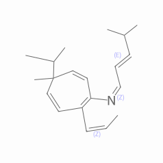 C/C=C\C1=C(/N=C\C=C\C(C)C)C=CC(C)(C(C)C)C=C1